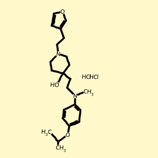 CC(C)Oc1ccc(N(C)CCC2(O)CCN(CCc3ccoc3)CC2)cc1.Cl.Cl